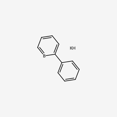 [KH].b1ccccc1-c1ccccc1